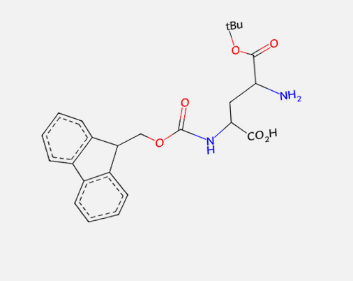 CC(C)(C)OC(=O)C(N)CC(NC(=O)OCC1c2ccccc2-c2ccccc21)C(=O)O